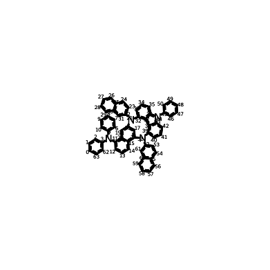 c1ccc(N(c2ccccc2)c2cccc3c4cc(cc23)N(c2ccc3ccccc3c2)c2cccc3c2c2c(cccc2n3-c2ccccc2)N4c2ccc3ccccc3c2)cc1